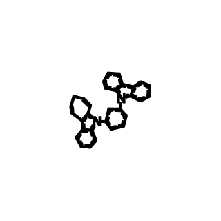 C1=Cc2c(n(-c3cccc(-n4c5ccccc5c5ccccc54)c3)c3ccccc23)C=CC1